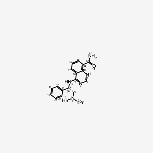 CCCN(S)C[C@@H](Nc1ncnc2c(C(N)=O)cccc12)c1ccccc1